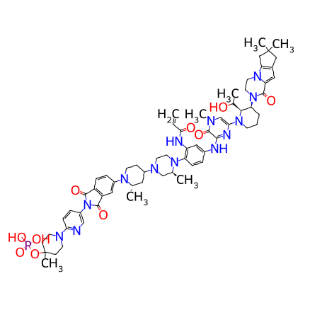 C=CC(=O)Nc1cc(Nc2nc(N3CCC[C@H](N4CCn5c(cc6c5CC(C)(C)C6)C4=O)[C@@H]3C(C)O)cn(C)c2=O)ccc1N1CCN(C2CCN(c3ccc4c(c3)C(=O)N(c3ccc(N5CCC(C)(OP(=O)(O)O)CC5)nc3)C4=O)[C@@H](C)C2)C[C@@H]1C